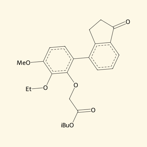 CCOc1c(OC)ccc(-c2cccc3c2CCC3=O)c1OCC(=O)OCC(C)C